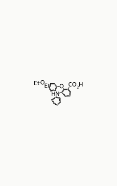 CCOCC.O=C(O)c1cccc2c1Oc1ccccc1N2.c1ccccc1